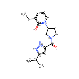 CCc1cccn(C2CCN(C(=O)c3cc(C(C)C)n[nH]3)C2)c1=O